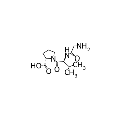 CC(C)[C@H](NC(=O)CN)C(=O)N1CCC[C@H]1C(=O)O